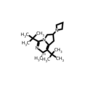 C[C@@H]1N=C(C(C)(C)C)N2CC(N3CCC3)CC2=C1C(C)(C)C